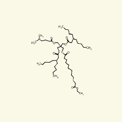 CCCCCC(CCCCC)CC(=O)OCC(COC(=O)CCCCCCCCCCC(=O)OCC)(COC(=O)CCCN(C)C)COC(=O)CC(CCCCC)CCCCC